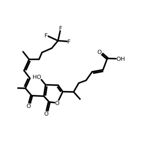 CC(=CC=C(C)C(=O)c1c(O)cc(C(C)CCC=CC(=O)O)oc1=O)CCCC(F)(F)F